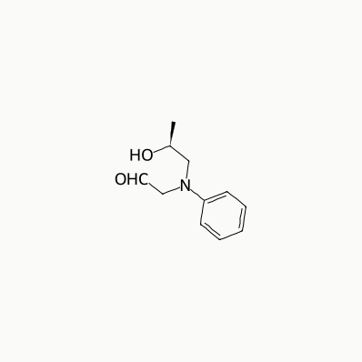 C[C@H](O)CN(CC=O)c1ccccc1